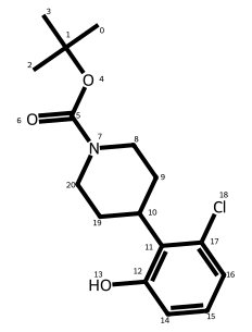 CC(C)(C)OC(=O)N1CCC(c2c(O)cccc2Cl)CC1